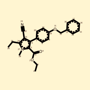 CCOC(=O)c1c(-c2ccc(OCc3ccccc3)cc2)c(C#N)c(CC)n1C